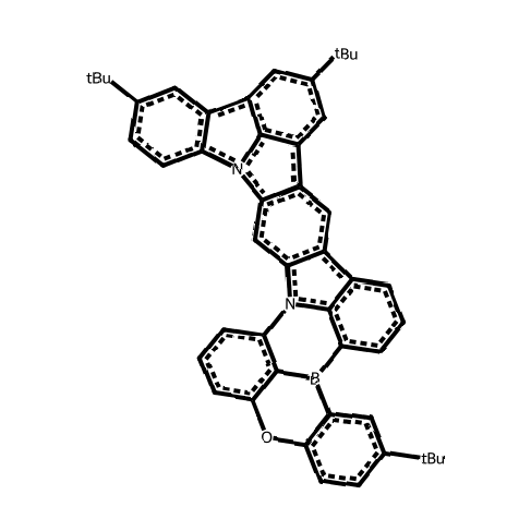 CC(C)(C)c1ccc2c(c1)B1c3c(cccc3-n3c4cc5c(cc4c4cccc1c43)c1cc(C(C)(C)C)cc3c4cc(C(C)(C)C)ccc4n5c31)O2